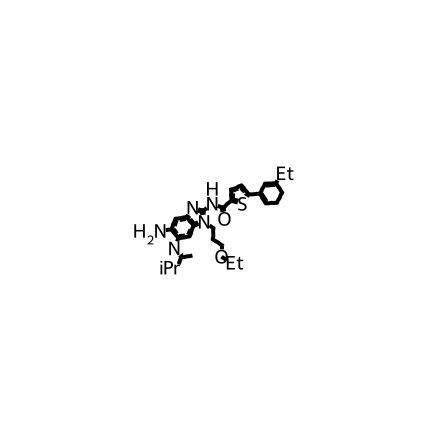 CCOCCCn1c(NC(=O)c2ccc(C3=CCCC(CC)=C3)s2)nc2cc(N)c(/N=C(\C)C(C)C)cc21